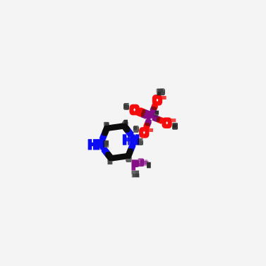 C1CNCCN1.O=P([O-])([O-])[O-].[P+3]